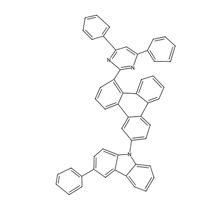 c1ccc(-c2ccc3c(c2)c2ccccc2n3-c2ccc3c4ccccc4c4c(-c5nc(-c6ccccc6)cc(-c6ccccc6)n5)cccc4c3c2)cc1